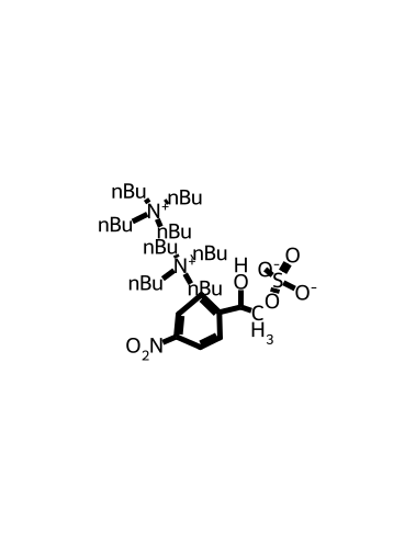 CC(O)c1ccc([N+](=O)[O-])cc1.CCCC[N+](CCCC)(CCCC)CCCC.CCCC[N+](CCCC)(CCCC)CCCC.O=S(=O)([O-])[O-]